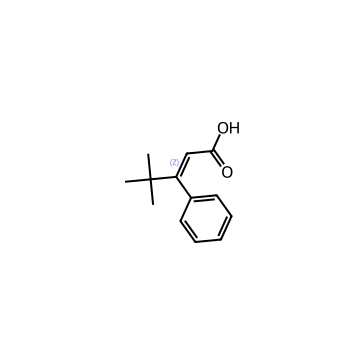 CC(C)(C)/C(=C/C(=O)O)c1ccccc1